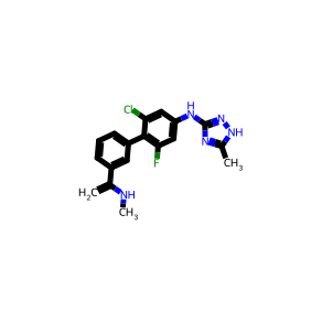 C=C(NC)c1cccc(-c2c(F)cc(Nc3n[nH]c(C)n3)cc2Cl)c1